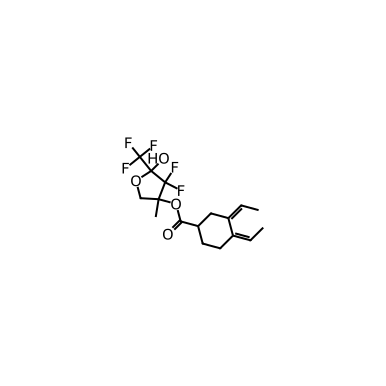 C/C=C1/CCC(C(=O)OC2(C)COC(O)(C(F)(F)F)C2(F)F)C/C1=C/C